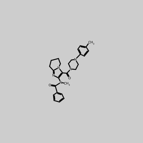 Cc1ccc(N2CCN(C(=O)c3c(N(C)C(=O)c4ccccc4)nc4n3CCCC4)CC2)cc1